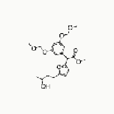 COCOc1cc(OCOC)cc(C(C(=O)OC)c2ccc(CCC(C)O)o2)c1